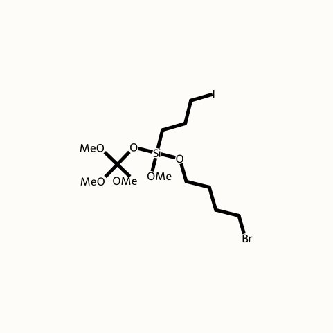 COC(OC)(OC)O[Si](CCCI)(OC)OCCCCBr